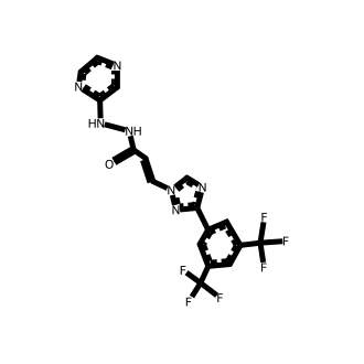 O=C(/C=C/n1cnc(-c2cc(C(F)(F)F)cc(C(F)(F)F)c2)n1)NNc1cnccn1